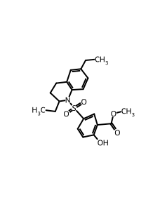 CCc1ccc2c(c1)CCC(CC)N2S(=O)(=O)c1ccc(O)c(C(=O)OC)c1